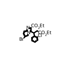 CCOC(=O)CC(c1ccccc1Cl)c1c(C(=O)OCC)nc2ccc(Br)cn12